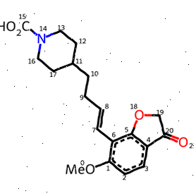 COc1ccc2c(c1C=CCCC1CCN(C(=O)O)CC1)OCC2=O